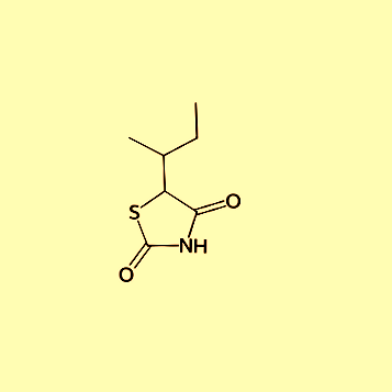 CCC(C)C1SC(=O)NC1=O